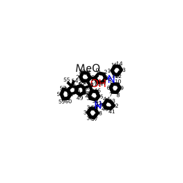 COc1cc(N(c2ccccc2)c2ccccc2)ccc1-c1ccccc1C(O)(c1ccc(N(c2ccccc2)c2ccccc2)cc1)c1ccc2c(c1)C(C)(C)c1ccccc1-2